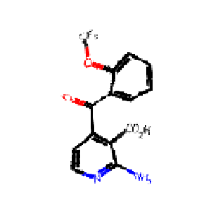 Nc1nccc(C(=O)c2ccccc2OC(F)(F)F)c1C(=O)O